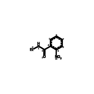 CCNC(=O)c1ccccc1[N+](=O)[O-]